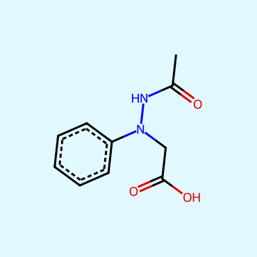 CC(=O)NN(CC(=O)O)c1ccccc1